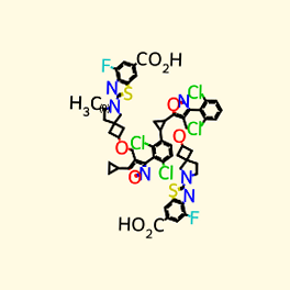 C[C@@H]1CC2(CC(OCc3c(-c4c(Cl)ccc(C5CC5c5onc(-c6c(Cl)cccc6Cl)c5COC5CC6(CCN(c7nc8c(F)cc(C(=O)O)cc8s7)C6)C5)c4Cl)noc3C3CC3)C2)CN1c1nc2c(F)cc(C(=O)O)cc2s1